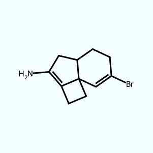 NC1=C2CCC23C=C(Br)CCC3C1